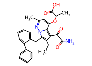 CCc1c(C(=O)C(N)=O)c2c(OC(C)C(=O)O)cc(C)nn2c1Cc1ccccc1-c1ccccc1